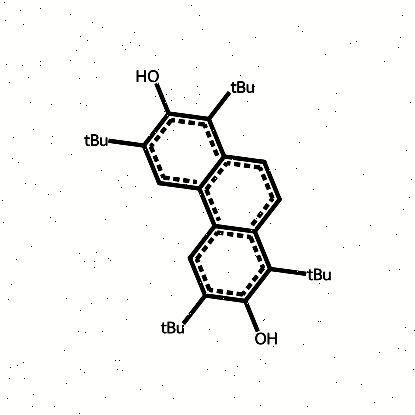 CC(C)(C)c1cc2c(ccc3c(C(C)(C)C)c(O)c(C(C)(C)C)cc32)c(C(C)(C)C)c1O